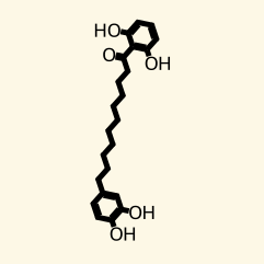 O=C(CCCCCCCCCCc1ccc(O)c(O)c1)c1c(O)cccc1O